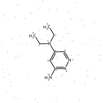 CCN(CC)c1cnnc(N)c1